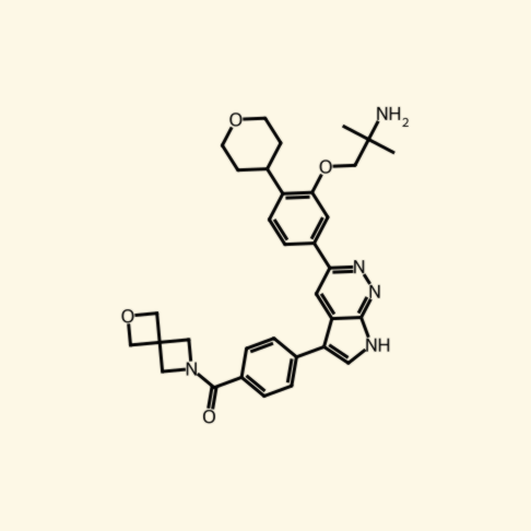 CC(C)(N)COc1cc(-c2cc3c(-c4ccc(C(=O)N5CC6(COC6)C5)cc4)c[nH]c3nn2)ccc1C1CCOCC1